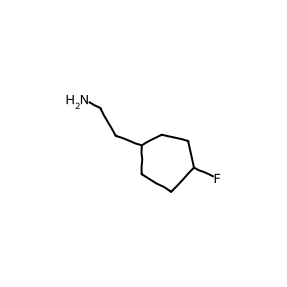 NCCC1CCC(F)CC1